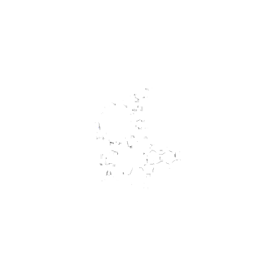 COC1=Cc2c(oc3c2nc(O[C@@H]2C[C@H]4C(=O)N[C@]5(C(=O)NS(=O)(=O)C6CC6)C[C@H]5/C=C\CCCCC[C@H](NC(=O)OC(C)(C)C)C(=O)N4C2)c2ccccc23)C(C)C1